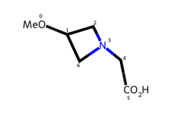 COC1CN(CC(=O)O)C1